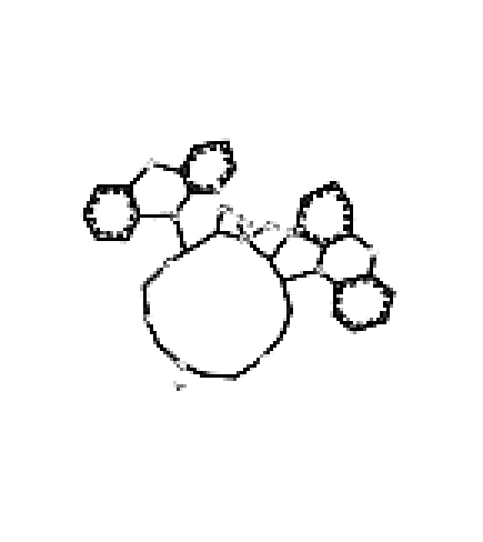 CC1C(N2c3ccccc3Sc3cccnc32)CCCCCCCCCCC(N2c3ccccc3Sc3cccnc32)C(C)[N+]1(C)C.[Br-]